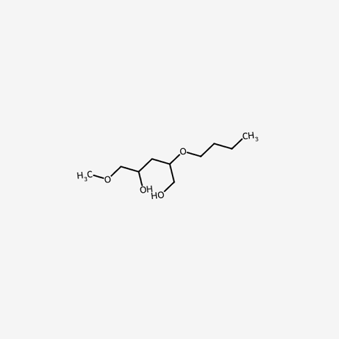 CCCCOC(CO)CC(O)COC